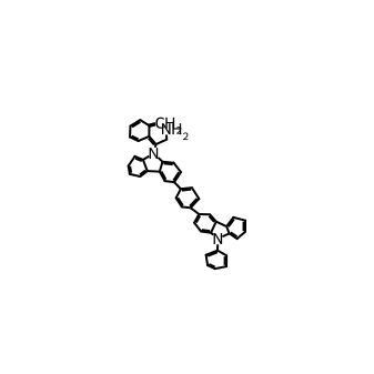 C=c1cccc/c1=C(/CN)n1c2ccccc2c2cc(-c3ccc(-c4ccc5c(c4)c4ccccc4n5-c4ccccc4)cc3)ccc21